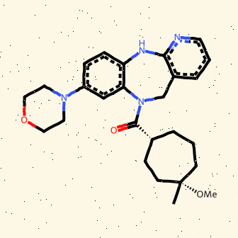 CO[C@@]1(C)CCC[C@@H](C(=O)N2Cc3cccnc3Nc3ccc(N4CCOCC4)cc32)CC1